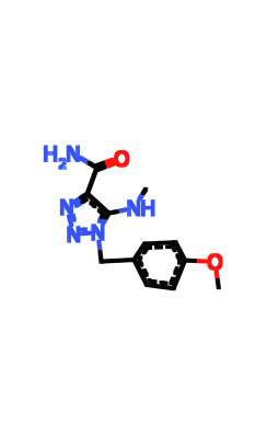 CNc1c(C(N)=O)nnn1Cc1ccc(OC)cc1